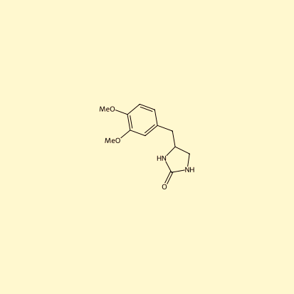 COc1ccc(CC2CNC(=O)N2)cc1OC